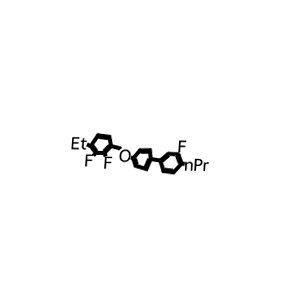 CCCc1ccc(-c2ccc(OCc3ccc(CC)c(F)c3F)cc2)cc1F